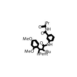 CCCCCC(c1ccc(OC)cc1OC)C(C(=O)Nc1cccc(C(=O)NC(=O)C(C)C)c1)C(C)(C)C